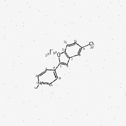 C[n+]1ccc(-c2cc3cc(Cl)ccc3o2)cc1.[I-]